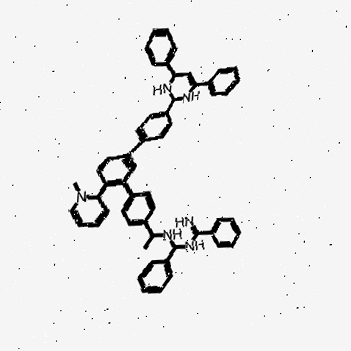 CC(NC(NC(=N)c1ccccc1)c1ccccc1)c1ccc(-c2cc(-c3ccc(C4NC(c5ccccc5)=CC(c5ccccc5)N4)cc3)ccc2C2C=CC=CN2C)cc1